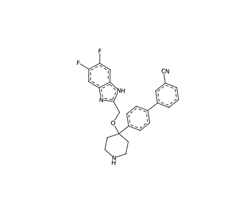 N#Cc1cccc(-c2ccc(C3(OCc4nc5cc(F)c(F)cc5[nH]4)CCNCC3)cc2)c1